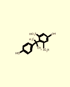 CC(C)(c1ccc(O)cc1)c1c(S(=O)(=O)O)cc(O)cc1S(=O)(=O)O